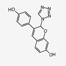 Oc1ccc(C2=Cc3ccc(O)cc3OC2n2cnnn2)cc1